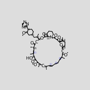 CO[C@H]1C[C@@H]2CCC(C)C(O)(O2)C(=O)C(=O)N2CCCC[C@H]2C(=O)O[C@H]([C@H](C)C[C@@H]2CC[C@H](n3ncnn3)[C@H](OC)C2)CC(=O)[C@H](C)/C=C(\C)[C@@H](O)[C@@H](OC)C(=O)[C@H](C)C[C@H](C)/C=C/C=C/C=C/1C